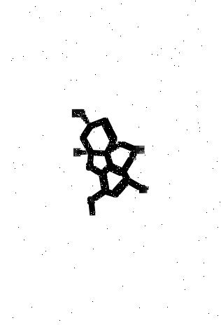 COc1cc(Br)c2c3c1O[C@H]1C[C@H](O)C=C[C@@]31CCNC2